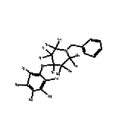 [2H]c1c([2H])c([2H])c(NC2([2H])C([2H])([2H])C([2H])([2H])N(Cc3ccccc3)C([2H])([2H])C2([2H])[2H])c([2H])c1[2H]